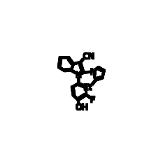 CCc1cccn1-c1c(C#N)c2ccccc2n1-c1ccc(O)c(F)c1